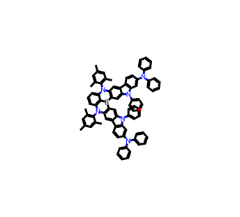 Cc1cc(C)c(N2c3cc4c5ccc(N(c6ccccc6)c6ccccc6)cc5n(-c5ccccc5)c4cc3B3c4cc5c(cc4N(c4c(C)cc(C)cc4C)c4cccc2c43)c2ccc(N(c3ccccc3)c3ccccc3)cc2n5-c2ccccc2)c(C)c1